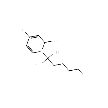 CCCCCC(C)(C)N1C=CC(N)=CC1N